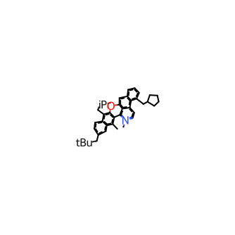 Cc1c2c(c(CC(C)C)c3ccc(CC(C)(C)C)cc13)Oc1cc3cccc(CC4CCCC4)c3c3cc[n+](C)c-2c13